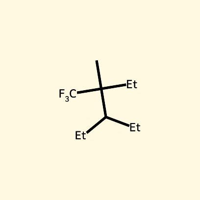 CCC(CC)C(C)(CC)C(F)(F)F